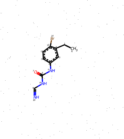 CCc1cc(NC(=O)NC=N)ccc1Br